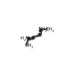 CCCCCCc1cc(Cc2ccc(CCCCc3ccc(Cc4ccc(N)c(CCCCCC)c4)cc3)cc2)ccc1N